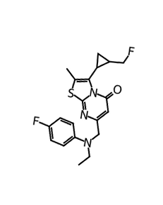 CCN(Cc1cc(=O)n2c(C3CC3CF)c(C)sc2n1)c1ccc(F)cc1